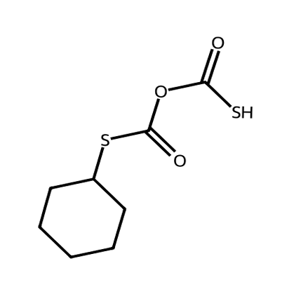 O=C(S)OC(=O)SC1CCCCC1